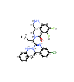 C=C1c2ccc(Cl)cc2N=C(C(CC)N(CCCN)C(=O)c2cccc(F)c2F)N1Nc1ccccc1